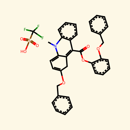 CN1C2=CC=C(OCc3ccccc3)CC2=C(C(=O)Oc2ccccc2OCc2ccccc2)c2ccccc21.O=S(=O)(O)C(F)(F)F